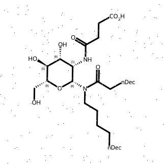 CCCCCCCCCCCCCCN(C(=O)CCCCCCCCCCC)[C@@H]1O[C@H](CO)[C@@H](O)[C@H](O)[C@@H]1NC(=O)CCC(=O)O